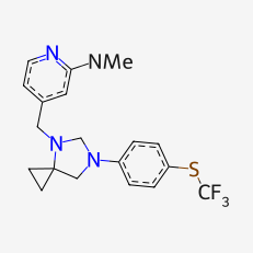 CNc1cc(CN2CN(c3ccc(SC(F)(F)F)cc3)CC23CC3)ccn1